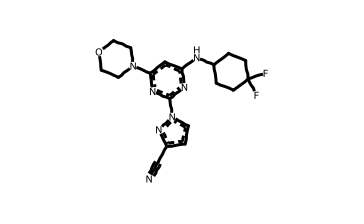 N#Cc1ccn(-c2nc(NC3CCC(F)(F)CC3)cc(N3CCOCC3)n2)n1